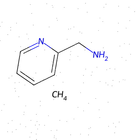 C.NCc1ccccn1